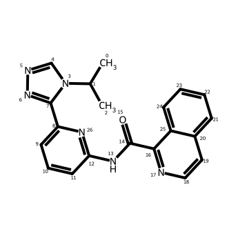 CC(C)n1cnnc1-c1cccc(NC(=O)c2nccc3ccccc23)n1